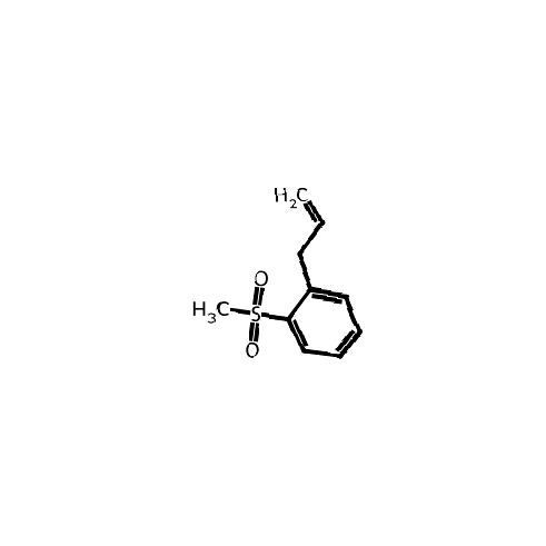 C=CCc1ccccc1S(C)(=O)=O